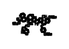 COc1ccc(CN(Cc2ccc(OC)cc2)c2cc(C)cc(-c3nc4c5c(nc(OC[C@@H]6CC[C@H]7COCCN76)nc5c3F)N([C@@H]3CCN(C(=O)OC(C)(C)C)c5ncccc53)CCO4)c2F)cc1